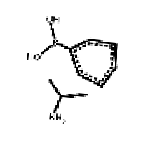 CC(C)N.OB(O)c1ccccc1